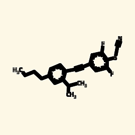 CCCCc1ccc(C#Cc2cc(F)c(SC#N)c(F)c2)c(C(C)C)c1